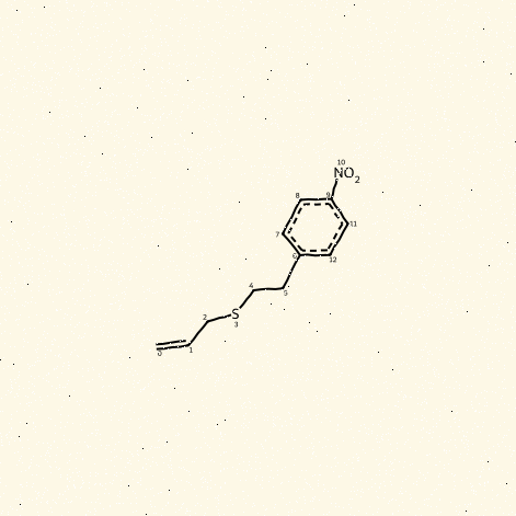 C=CCSCCc1ccc([N+](=O)[O-])cc1